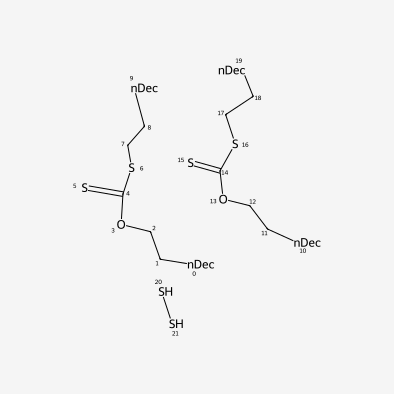 CCCCCCCCCCCCOC(=S)SCCCCCCCCCCCC.CCCCCCCCCCCCOC(=S)SCCCCCCCCCCCC.SS